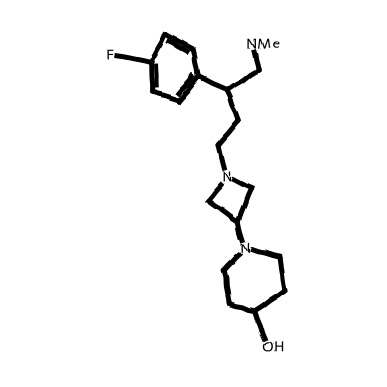 CNCC(CCN1CC(N2CCC(O)CC2)C1)c1ccc(F)cc1